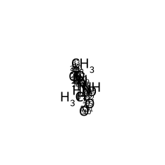 CCC1CC(OC2CCOCC2)CC1C(=O)NNC1=CN=C2C(=CCN2S(=O)(=O)c2ccc(C)cc2)N1